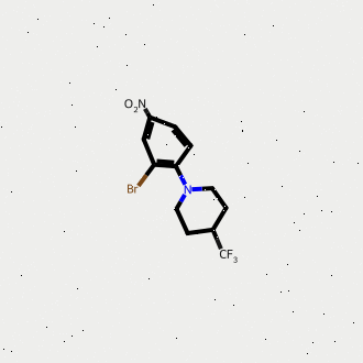 O=[N+]([O-])c1ccc(N2CCC(C(F)(F)F)CC2)c(Br)c1